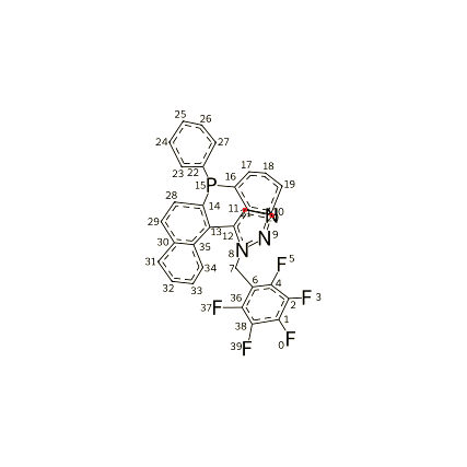 Fc1c(F)c(F)c(Cn2nncc2-c2c(P(c3ccccc3)c3ccccc3)ccc3ccccc23)c(F)c1F